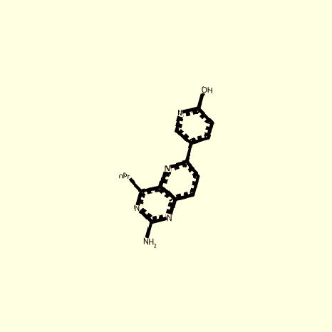 CCCc1nc(N)nc2ccc(-c3ccc(O)nc3)nc12